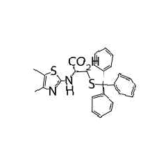 Cc1nc(NC(CSC(c2ccccc2)(c2ccccc2)c2ccccc2)C(=O)O)sc1C